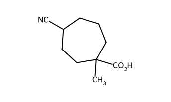 CC1(C(=O)O)CCCC(C#N)CC1